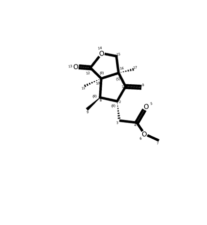 C=C1[C@H](CC(=O)OC)[C@@H](C)[C@@]2(C)C(=O)OC[C@@]12C